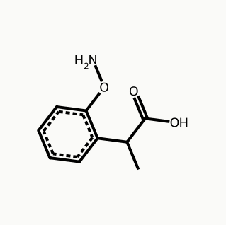 CC(C(=O)O)c1ccccc1ON